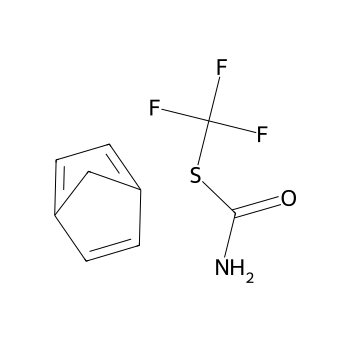 C1=CC2=CC=C1C2.NC(=O)SC(F)(F)F